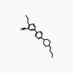 CCCCC1CCC(c2ccc(-c3ccc(CCC)c(C#N)c3)cc2)CC1